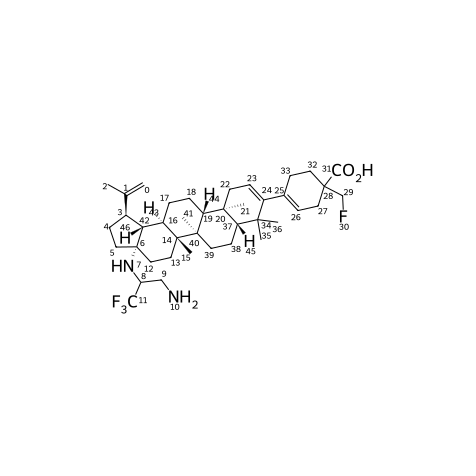 C=C(C)[C@@H]1CC[C@]2(NC(CN)C(F)(F)F)CC[C@]3(C)[C@H](CC[C@@H]4[C@@]5(C)CC=C(C6=CCC(CF)(C(=O)O)CC6)C(C)(C)[C@@H]5CC[C@]43C)[C@@H]12